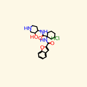 Cl.O=C(NC1(C(=O)NC2CCNCC2O)CCCCC1)c1cc2ccccc2o1